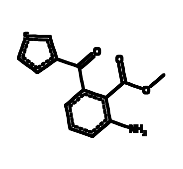 COC(=O)c1c(N)cccc1C(=O)c1ccsc1